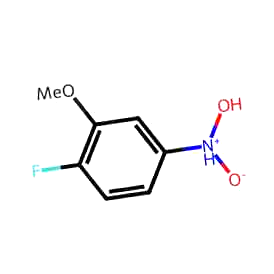 COc1cc([NH+]([O-])O)ccc1F